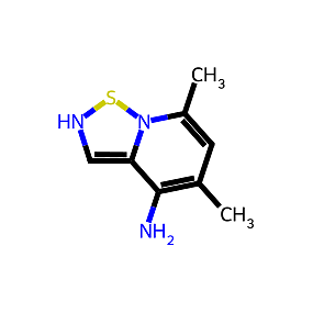 CC1=CC(C)=C(N)C2=CNSN12